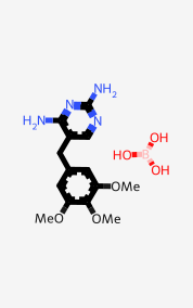 COc1cc(Cc2cnc(N)nc2N)cc(OC)c1OC.OB(O)O